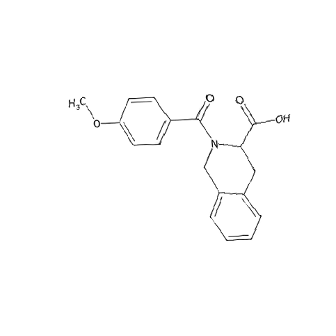 COc1ccc(C(=O)N2Cc3ccccc3CC2C(=O)O)cc1